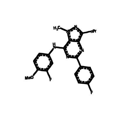 CCCc1nn(C)c2c(Nc3ccc(OC)c(F)c3)nc(-c3ccc(F)cc3)nc12